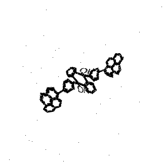 OC1(c2ccc(-c3ccc4ccc5cccc6ccc3c4c56)cc2)c2ccccc2C(O)(c2ccc(-c3ccc4ccc5cccc6ccc3c4c56)cc2)c2ccccc21